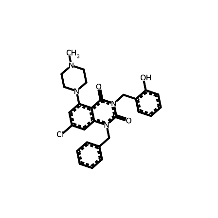 CN1CCN(c2cc(Cl)cc3c2c(=O)n(Cc2ccccc2O)c(=O)n3Cc2ccccc2)CC1